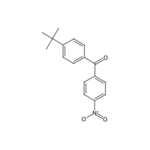 CC(C)(C)c1ccc(C(=O)c2ccc([N+](=O)[O-])cc2)cc1